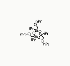 CCCOC[Si]1(C(C)C)O[Si](COCCC)(C(C)C)O[Si](COCCC)(C(C)C)O1